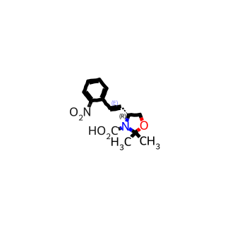 CC1(C)OC[C@@H](/C=C/c2ccccc2[N+](=O)[O-])N1C(=O)O